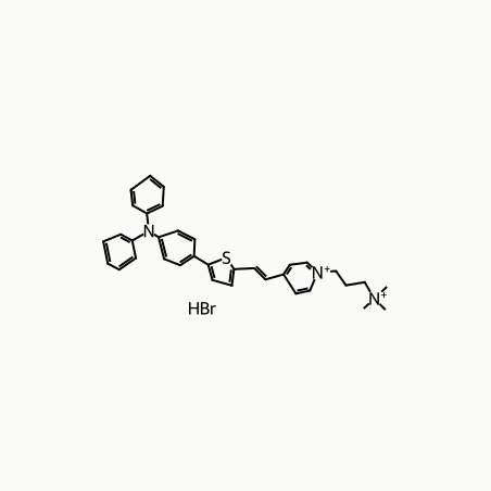 Br.C[N+](C)(C)CCC[n+]1ccc(/C=C/c2ccc(-c3ccc(N(c4ccccc4)c4ccccc4)cc3)s2)cc1